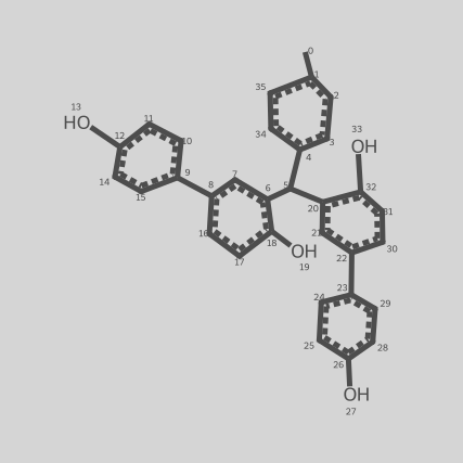 Cc1ccc(C(c2cc(-c3ccc(O)cc3)ccc2O)c2cc(-c3ccc(O)cc3)ccc2O)cc1